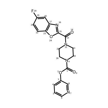 O=C(Oc1cccnc1)N1CCN(C(=O)c2nc3cc(F)ccc3o2)CC1